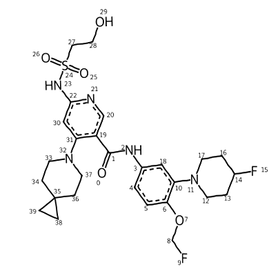 O=C(Nc1ccc(OCF)c(N2CCC(F)CC2)c1)c1cnc(NS(=O)(=O)CCO)cc1N1CCC2(CC1)CC2